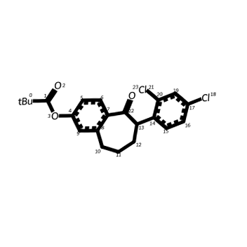 CC(C)(C)C(=O)Oc1ccc2c(c1)CCCC(c1ccc(Cl)cc1Cl)C2=O